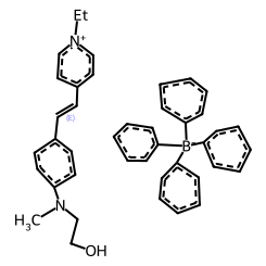 CC[n+]1ccc(/C=C/c2ccc(N(C)CCO)cc2)cc1.c1ccc([B-](c2ccccc2)(c2ccccc2)c2ccccc2)cc1